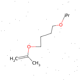 C=C(C)OCCCCOC(C)C